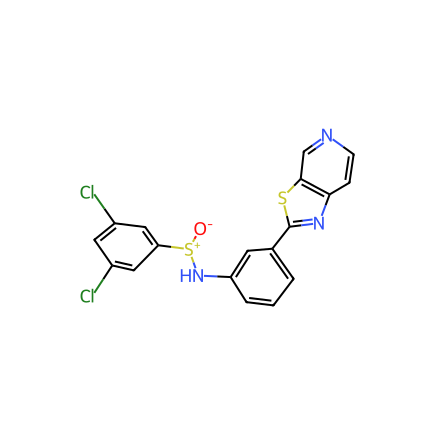 [O-][S+](Nc1cccc(-c2nc3ccncc3s2)c1)c1cc(Cl)cc(Cl)c1